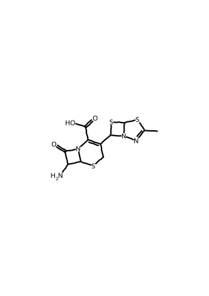 CC1=NN2C(S1)SC2C1=C(C(=O)O)N2C(=O)C(N)C2SC1